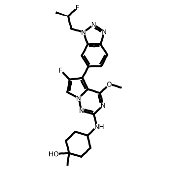 COc1nc(NC2CCC(C)(O)CC2)nn2cc(F)c(-c3ccc4nnn(C[C@@H](C)F)c4c3)c12